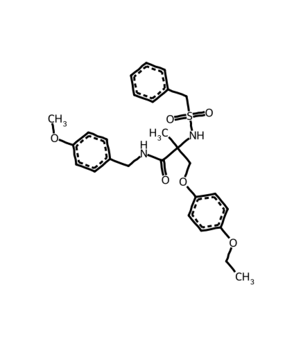 CCOc1ccc(OCC(C)(NS(=O)(=O)Cc2ccccc2)C(=O)NCc2ccc(OC)cc2)cc1